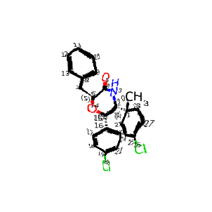 CC1([C@H]2NC(=O)[C@H](Cc3ccccc3)O[C@H]2c2ccc(Cl)cc2)C=CC(Cl)=CC1